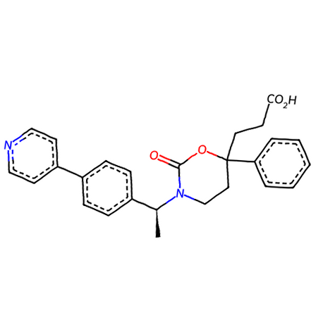 C[C@@H](c1ccc(-c2ccncc2)cc1)N1CCC(CCC(=O)O)(c2ccccc2)OC1=O